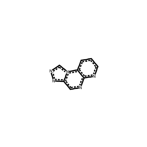 c1cnc2ncc3nncn3c2c1